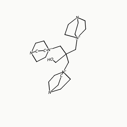 OCC(C[N+]12CCN(CC1)CC2)(C[N+]12CCN(CC1)CC2)C[N+]12CCN(CC1)CC2